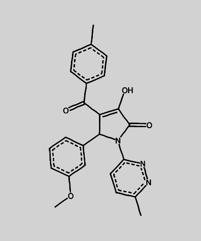 COc1cccc(C2C(C(=O)c3ccc(C)cc3)=C(O)C(=O)N2c2ccc(C)nn2)c1